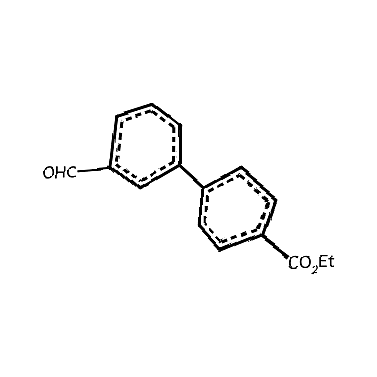 CCOC(=O)c1ccc(-c2cccc(C=O)c2)cc1